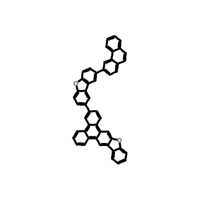 c1ccc2c(c1)ccc1ccc(-c3ccc4oc5ccc(-c6ccc7c(c6)c6ccccc6c6cc8c(cc76)oc6ccccc68)cc5c4c3)cc12